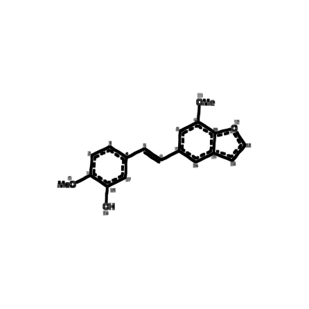 COc1ccc(C=Cc2cc(OC)c3occc3c2)cc1O